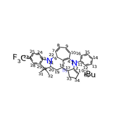 CC[C@H](C)C1=C(N(C2=CCC=CC=C2)c2ccccc2)/C(=C/CC2N(C)c3ccc(C(F)(F)F)cc3C2(C)C)CC1